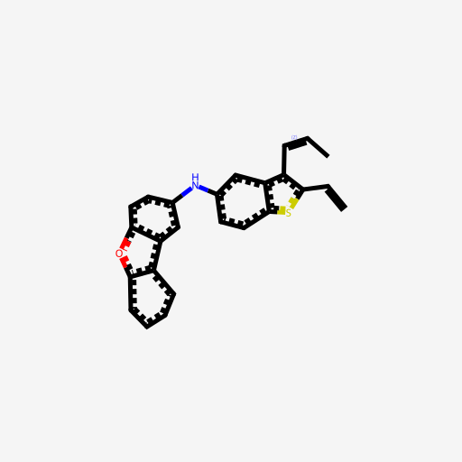 C=Cc1sc2ccc(Nc3ccc4oc5ccccc5c4c3)cc2c1/C=C\C